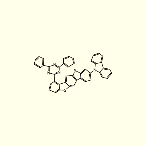 c1ccc(-c2nc(-c3ccccc3)nc(-c3cccc4sc5cc6c(cc5c34)sc3cc(-n4c5ccccc5c5ccccc54)ccc36)n2)cc1